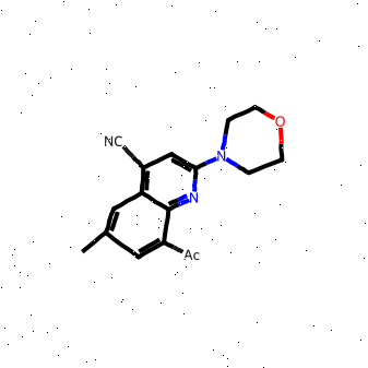 CC(=O)c1cc(C)cc2c(C#N)cc(N3CCOCC3)nc12